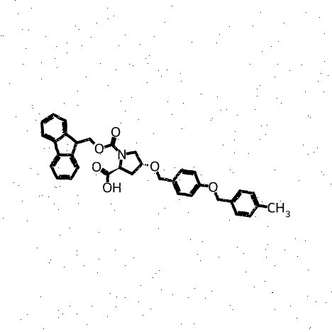 Cc1ccc(COc2ccc(CO[C@@H]3C[C@@H](C(=O)O)N(C(=O)OCC4c5ccccc5-c5ccccc54)C3)cc2)cc1